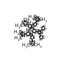 Cc1nc(C)nc(-c2ccc3c(c2)c2cc(-c4nc(C)nc(C)n4)ccc2n3-c2cc(-c3cc(-c4ccccc4)nc(-c4ccccc4)n3)cc(-n3c4ccc(-c5nc(C)nc(C)n5)cc4c4cc(-c5nc(C)nc(C)n5)ccc43)c2C#N)n1